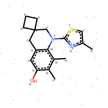 Cc1csc(N2CC3(CCC3)Cc3cc(O)c(C)c(C)c32)n1